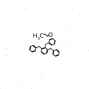 CCC=O.c1ccc(Cc2cccc(Cc3ccccc3)c2Cc2ccccc2)cc1